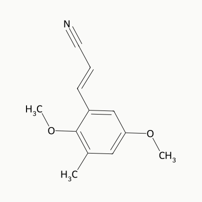 COc1cc(C)c(OC)c(C=CC#N)c1